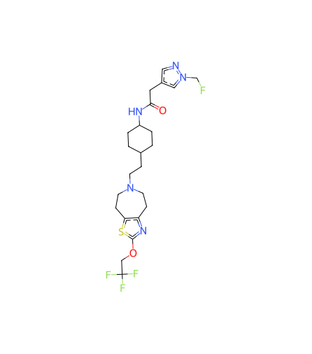 O=C(Cc1cnn(CF)c1)NC1CCC(CCN2CCc3nc(OCC(F)(F)F)sc3CC2)CC1